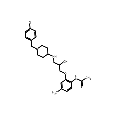 CC(=O)Nc1ccc(C)cc1OCC(O)CNC1CCN(Cc2ccc(Cl)cc2)CC1